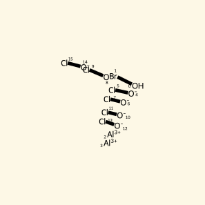 OBr.[Al+3].[Al+3].[O-]Cl.[O-]Cl.[O-]Cl.[O-]Cl.[O-]Cl.[O-]Cl